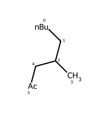 CCCC[CH]C(C)CC(C)=O